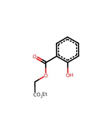 CCOC(=O)COC(=O)c1ccccc1O